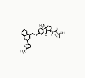 Cc1ccc(-c2cc(COc3ccc(C4(N)CCN(C(C)C(=O)NO)C4=O)cc3)c3ccccc3n2)o1